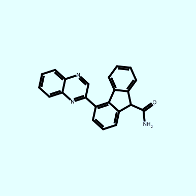 NC(=O)C1c2ccccc2-c2c(-c3cnc4ccccc4n3)cccc21